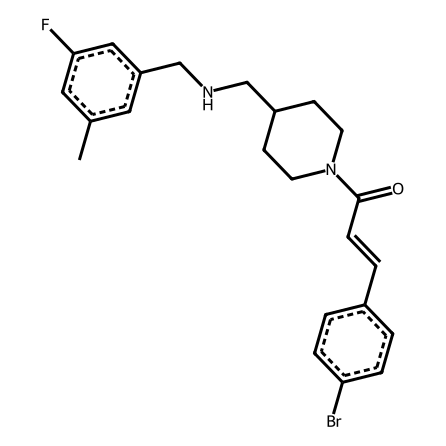 Cc1cc(F)cc(CNCC2CCN(C(=O)/C=C/c3ccc(Br)cc3)CC2)c1